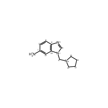 Nc1ccc2ncn(CN3CCCC3)c2c1